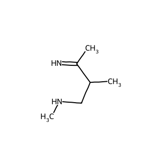 CNCC(C)C(C)=N